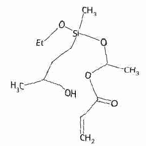 C=CC(=O)OC(C)O[Si](C)(CCC(C)O)OCC